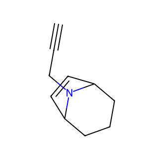 C#CCN1C2C=CC1CCC2